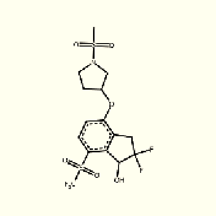 CS(=O)(=O)N1CCC(Oc2ccc(S(=O)(=O)C(F)(F)F)c3c2CC(F)(F)C3O)C1